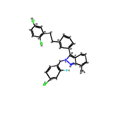 Fc1cc(Cl)ccc1Cn1nc2c(C(F)(F)F)cccc2c1-c1cccc(CCc2cc(Cl)ccc2Cl)c1